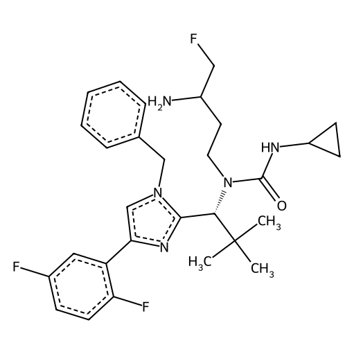 CC(C)(C)[C@H](c1nc(-c2cc(F)ccc2F)cn1Cc1ccccc1)N(CCC(N)CF)C(=O)NC1CC1